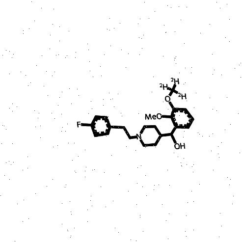 [2H]C([2H])([2H])Oc1cccc(C(O)C2CCN(CCc3ccc(F)cc3)CC2)c1OC